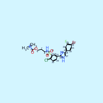 CN(C)C(=O)OCCCNS(=O)(=O)c1cc(-c2nc(-c3ccc(Br)c(F)c3)c[nH]2)ccc1Cl